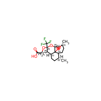 C[C@@H]1CC[C@H]2[C@@H](C)[C@](OCC(=O)O)(C(F)(F)F)O[C@@H]3O[C@]4(C)CC[C@@H]1C32OO4